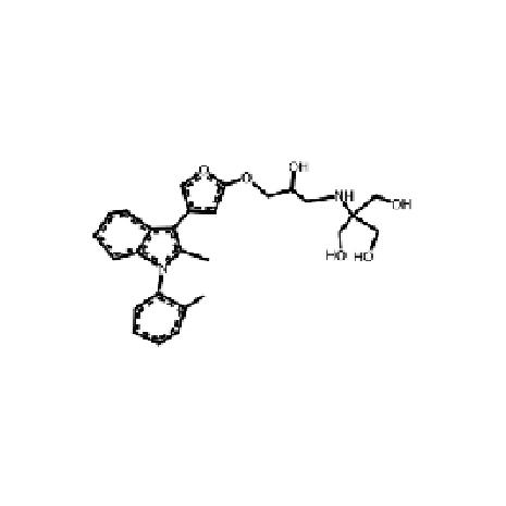 Cc1ccccc1-n1c(C)c(-c2coc(OCC(O)CNC(CO)(CO)CO)c2)c2ccccc21